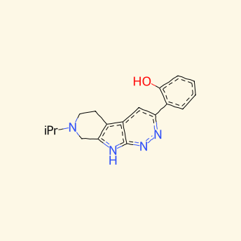 CC(C)N1CCc2c([nH]c3nnc(-c4ccccc4O)cc23)C1